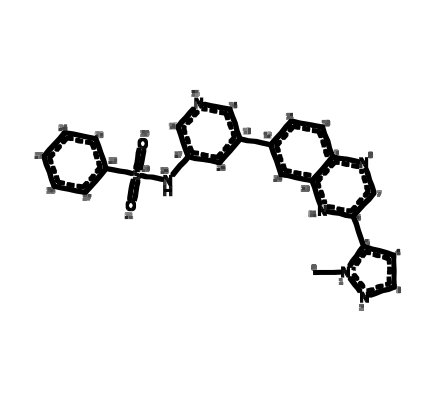 Cn1nccc1-c1cnc2ccc(-c3cncc(NS(=O)(=O)c4ccccc4)c3)cc2n1